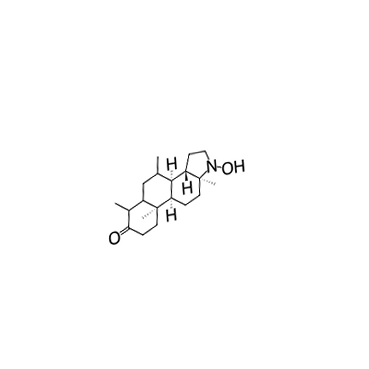 CC1C(=O)CC[C@@]2(C)C1CC(C)[C@@H]1[C@H]2CC[C@@]2(C)[C@H]1CCN2O